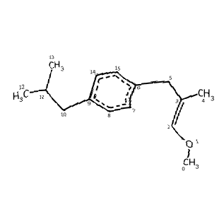 COC=C(C)Cc1ccc(CC(C)C)cc1